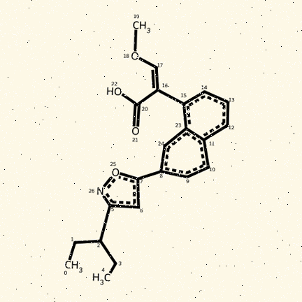 CCC(CC)c1cc(-c2ccc3cccc(C(=COC)C(=O)O)c3c2)on1